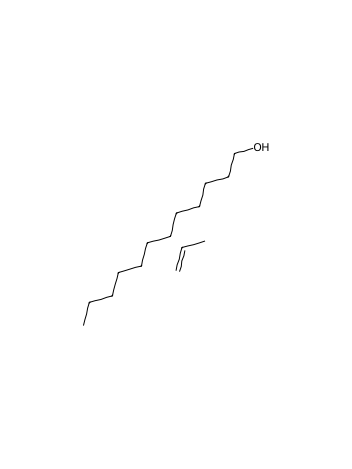 C=CC.CCCCCCCCCCCCO